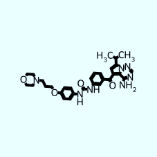 CC(C)c1cc(C(=O)c2cccc(NC(=O)Nc3ccc(OCCCN4CCOCC4)cc3)c2)c2c(N)ncnn12